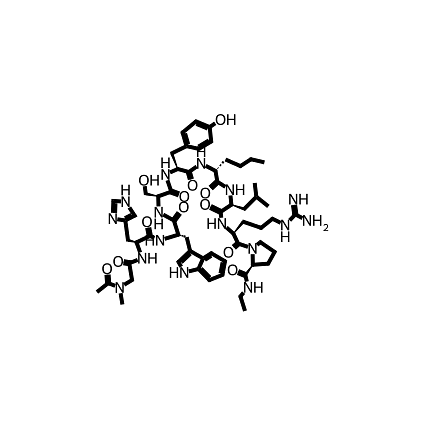 CCCC[C@@H](NC(=O)[C@H](Cc1ccc(O)cc1)NC(=O)[C@H](CO)NC(=O)[C@H](Cc1c[nH]c2ccccc12)NC(=O)[C@H](Cc1c[nH]cn1)NC(=O)CN(C)C(C)=O)C(=O)N[C@@H](CC(C)C)C(=O)N[C@@H](CCCNC(=N)N)C(=O)N1CCC[C@H]1C(=O)NCC